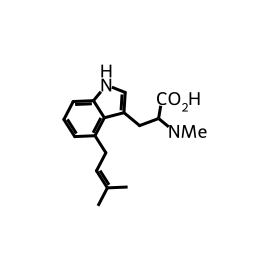 CNC(Cc1c[nH]c2cccc(CC=C(C)C)c12)C(=O)O